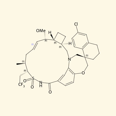 CO[C@H]1/C=C/C[C@H](C)[C@@H](CC(F)(F)F)S(=O)(=O)NC(=O)c2ccc3c(c2)N(C[C@@H]2CC[C@H]21)C[C@@]1(CCCc2cc(Cl)ccc21)CO3